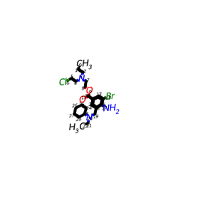 CCCN(CCCl)CCOC(=O)c1cc(Br)c(N)c(CN(CC)C2CCCCC2)c1